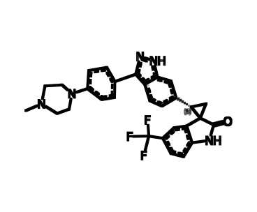 CN1CCN(c2ccc(-c3n[nH]c4cc([C@@H]5CC56C(=O)Nc5ccc(C(F)(F)F)cc56)ccc34)cc2)CC1